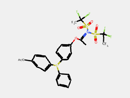 CC(=O)Oc1ccc([S+](c2ccccc2)c2ccc(OC(C)=[N+](S(=O)(=O)C(F)(F)C(F)(F)F)S(=O)(=O)C(F)(F)C(F)(F)F)cc2)cc1